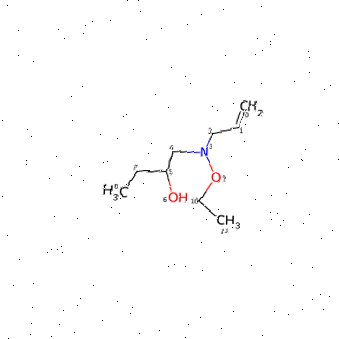 C=CCN(CC(O)CC)OCC